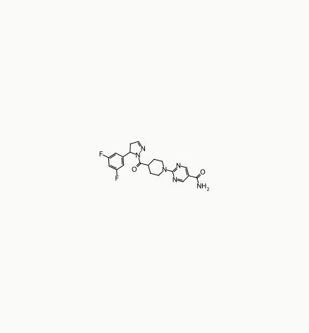 NC(=O)c1cnc(N2CCC(C(=O)N3N=CCC3c3cc(F)cc(F)c3)CC2)nc1